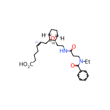 CCN(CCC(=O)NCC[C@H]1[C@@H](C/C=C\CCCC(=O)O)[C@H]2CC[C@@H]1O2)C(=O)c1ccccc1